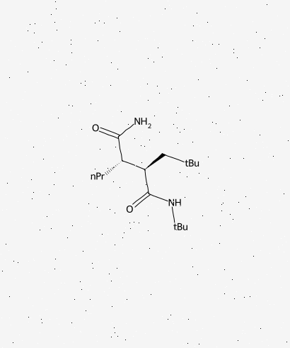 CCC[C@H](C(N)=O)[C@@H](CC(C)(C)C)C(=O)NC(C)(C)C